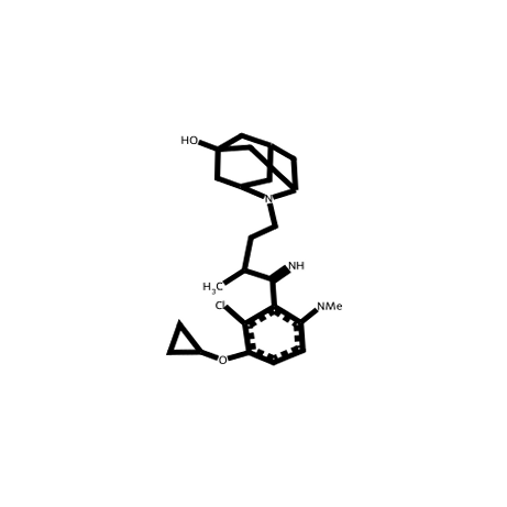 CNc1ccc(OC2CC2)c(Cl)c1C(=N)C(C)CCN1C2CC3CC1CC(O)(C3)C2